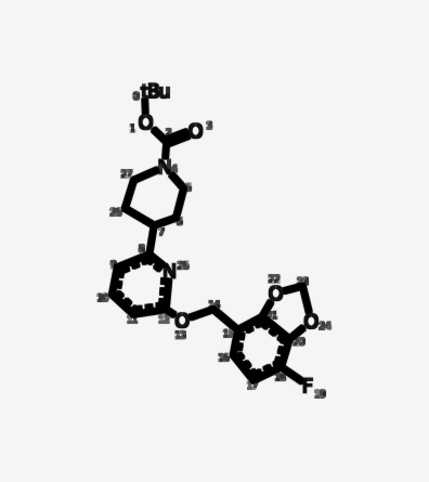 CC(C)(C)OC(=O)N1CCC(c2cccc(OCc3ccc(F)c4c3OCO4)n2)CC1